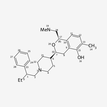 CCC(CN1CCC([C@@H]2Cc3c(ccc(C)c3O)[C@H](CNC)O2)CC1)c1ccccc1